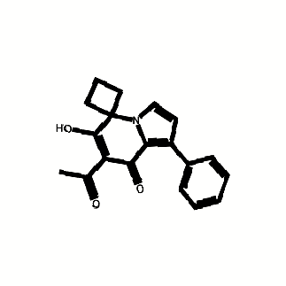 CC(=O)C1=C(O)C2(CCC2)n2ccc(-c3ccccc3)c2C1=O